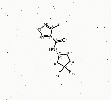 Cc1nonc1C(=O)N[C@@H]1CCC(F)(F)C1